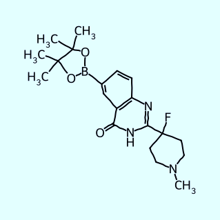 CN1CCC(F)(c2nc3ccc(B4OC(C)(C)C(C)(C)O4)cc3c(=O)[nH]2)CC1